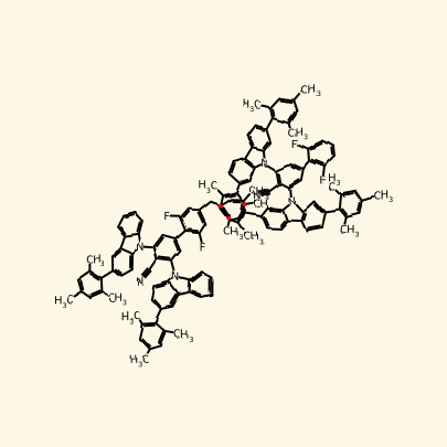 Cc1cc(C)c(-c2ccc3c(c2)c2ccccc2n3-c2cc(-c3c(F)cc(Cc4cc(C)c(-c5ccc6c7ccc(-c8c(C)cc(C)cc8C)cc7n(-c7cc(-c8c(F)cccc8F)cc(-n8c9cc(-c%10c(C)cc(C)cc%10C)ccc9c9ccc(-c%10c(C)cc(C)cc%10C)cc98)c7C#N)c6c5)c(C)c4)cc3F)cc(-n3c4ccccc4c4cc(-c5c(C)cc(C)cc5C)ccc43)c2C#N)c(C)c1